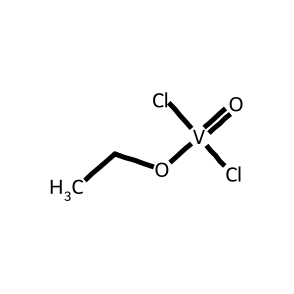 CC[O][V](=[O])([Cl])[Cl]